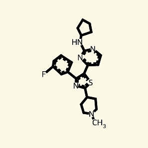 CN1CCC(c2nc(-c3cccc(F)c3)c(-c3ccnc(NC4CCCC4)n3)s2)CC1